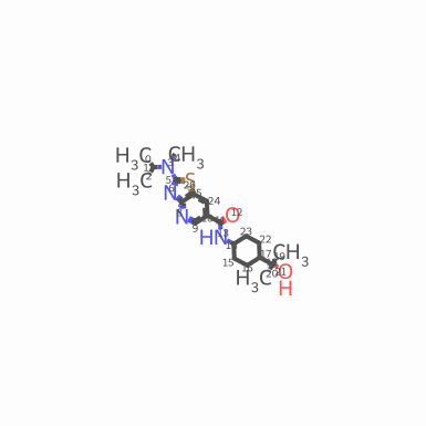 CC(C)N(C)c1nc2ncc(C(=O)NC3CCC(C(C)(C)O)CC3)cc2s1